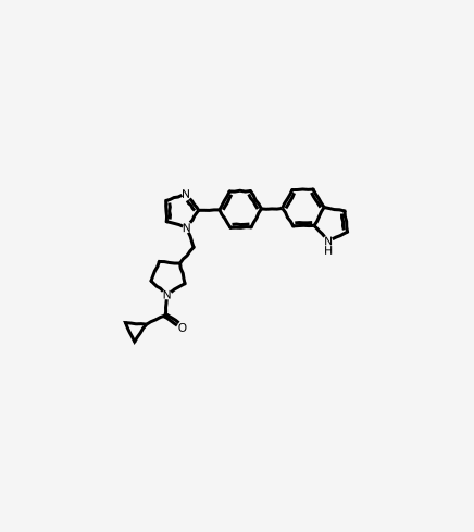 O=C(C1CC1)N1CCC(Cn2ccnc2-c2ccc(-c3ccc4cc[nH]c4c3)cc2)C1